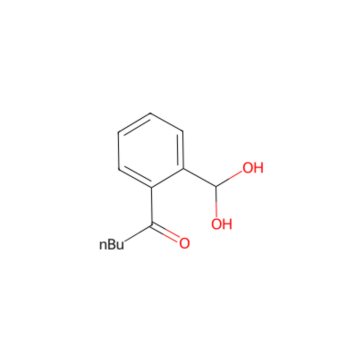 CCCCC(=O)c1ccccc1C(O)O